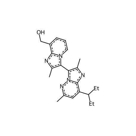 CCC(CC)c1cc(C)nn2c(-c3c(C)nc4c(CO)cccn34)c(C)nc12